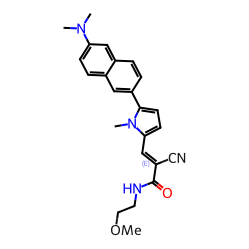 COCCNC(=O)/C(C#N)=C/c1ccc(-c2ccc3cc(N(C)C)ccc3c2)n1C